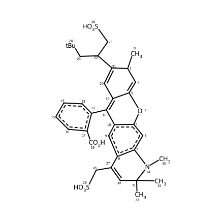 CC1C=C2Oc3cc4c(cc3C(c3ccccc3C(=O)O)=C2C=C1C(CC(C)(C)C)CS(=O)(=O)O)C(CS(=O)(=O)O)=CC(C)(C)N4C